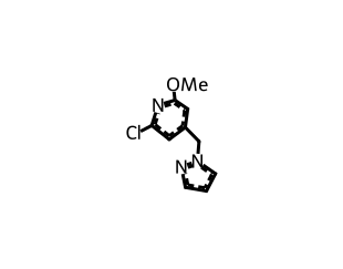 COc1cc(Cn2cccn2)cc(Cl)n1